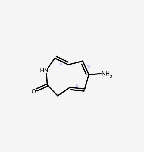 NC1=C/C=C/NC(=O)C\C=C\1